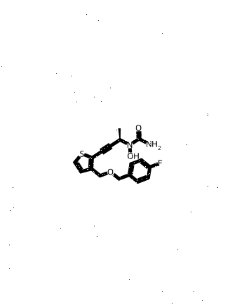 C[C@H](C#Cc1sccc1COCc1ccc(F)cc1)N(O)C(N)=O